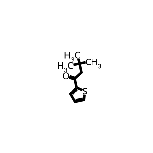 CC(C)(C)CC(=O)c1cccs1